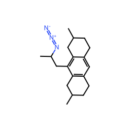 CC1CCc2cc3c(c(CC(C)N=[N+]=[N-])c2C1)CC(C)CC3